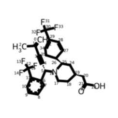 C=C(C)C#C[C@@H](c1ccccc1C(F)(F)F)N1CC[C@H](CC(=O)O)C[C@@H]1C1C=CC(C(F)(F)F)=CC1